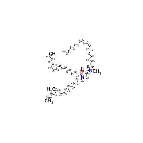 CCCCC/C=C\C/C=C\CCCCCCCC[N+](C)(C)CCCN(CCCCCCCC/C=C\CC(C)CCCCC)C(=O)CCCCCCC/C=C\C/C=C\CCCCC